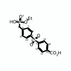 CCOP(=O)(O)Cc1ccc(S(=O)(=O)c2ccc(C(=O)O)cc2)cc1